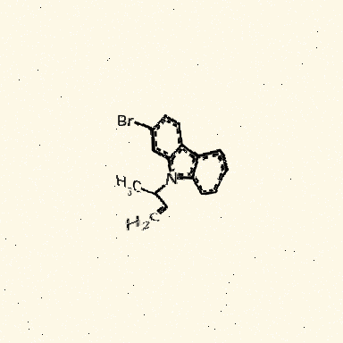 C=CC(C)n1c2ccccc2c2ccc(Br)cc21